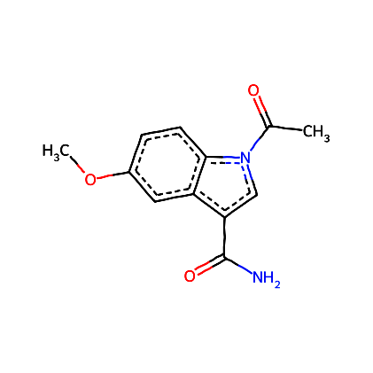 COc1ccc2c(c1)c(C(N)=O)cn2C(C)=O